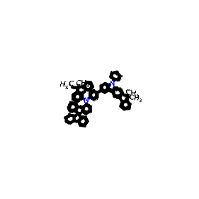 CCC1(C)c2ccccc2-c2c(N(c3ccc(-c4ccc5c(c4)c4cc6c(cc4n5-c4ccccc4)C(C)(C)c4ccccc4-6)cc3)c3cccc4c3-c3ccccc3C43c4ccccc4C4C=CC=CC43)cccc21